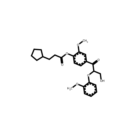 COc1cc(C(=O)C(CO)Oc2ccccc2OC)ccc1OC(=O)CCC1CCCC1